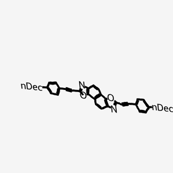 CCCCCCCCCCc1ccc(C#Cc2nc3ccc4c(ccc5nc(C#Cc6ccc(CCCCCCCCCC)cc6)oc54)c3o2)cc1